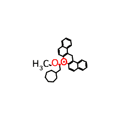 CCOCOc1ccc2ccccc2c1Cc1c(OCCC2CCCCCC2)ccc2ccccc12